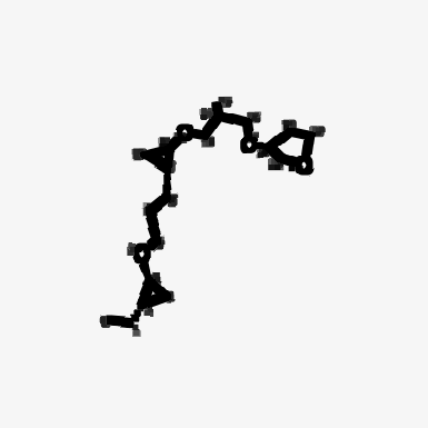 CC[C@H]1C[C@@H]1OCCC[C@H]1CC1OCC(C)CO[C@@H]1CCOC1